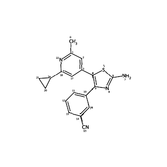 Cc1cc(-c2sc(N)nc2-c2cccc(C#N)c2)cc(C2CC2)n1